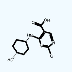 O=C(O)c1cnc(Cl)nc1N[C@H]1CC[C@@H](O)CC1